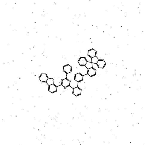 c1ccc(-c2nc(-c3ccccc3-c3cccc(-c4cccc5c4-c4ccccc4C54c5ccccc5-c5ccccc54)c3)nc(-c3cccc4c3sc3ccccc34)n2)cc1